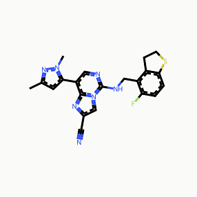 Cc1cc(-c2cnc(NCc3c(F)ccc4c3CCS4)n3cc(C#N)nc23)n(C)n1